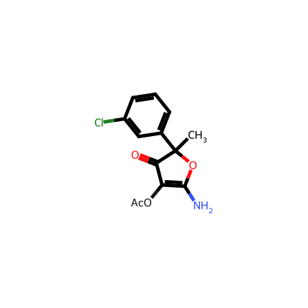 CC(=O)OC1=C(N)OC(C)(c2cccc(Cl)c2)C1=O